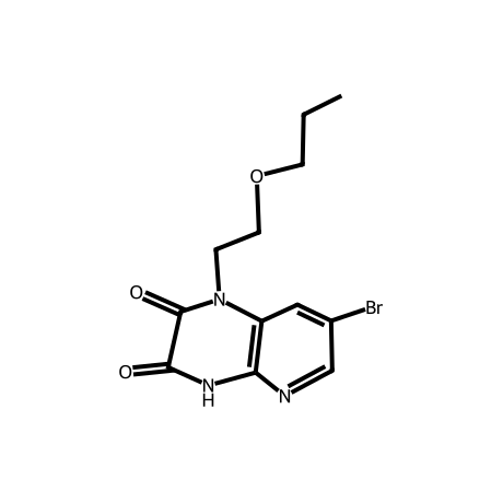 CCCOCCn1c(=O)c(=O)[nH]c2ncc(Br)cc21